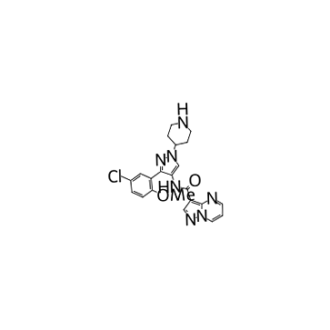 COc1ccc(Cl)cc1-c1nn(C2CCNCC2)cc1NC(=O)c1cnn2cccnc12